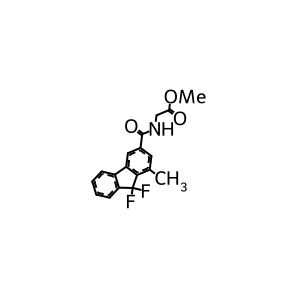 COC(=O)CNC(=O)c1cc(C)c2c(c1)-c1ccccc1C2(F)F